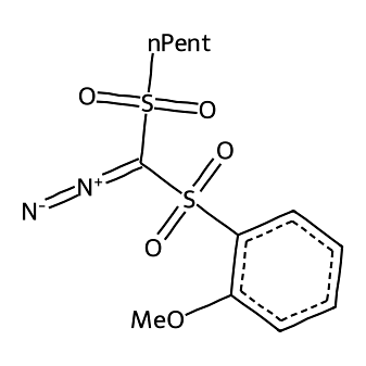 CCCCCS(=O)(=O)C(=[N+]=[N-])S(=O)(=O)c1ccccc1OC